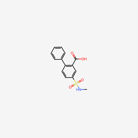 CNS(=O)(=O)c1ccc(-c2ccccc2)c(C(=O)O)c1